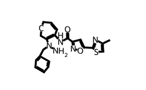 Cc1csc(-c2cc(C(=O)NC3=C(N(N)Cc4ccccc4)CCCC=C3)no2)n1